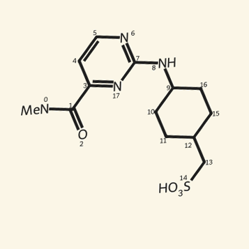 CNC(=O)c1ccnc(NC2CCC(CS(=O)(=O)O)CC2)n1